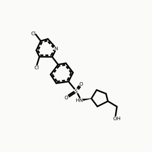 O=S(=O)(N[C@H]1CCC(CO)C1)c1ccc(-c2ncc(Cl)cc2Cl)cc1